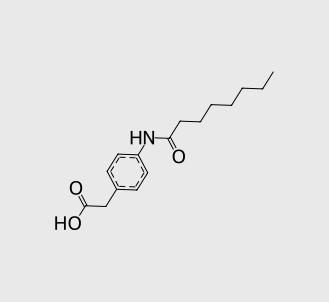 CCCCCCCC(=O)Nc1ccc(CC(=O)O)cc1